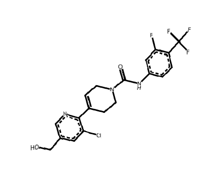 O=C(Nc1ccc(C(F)(F)F)c(F)c1)N1CC=C(c2ncc(CO)cc2Cl)CC1